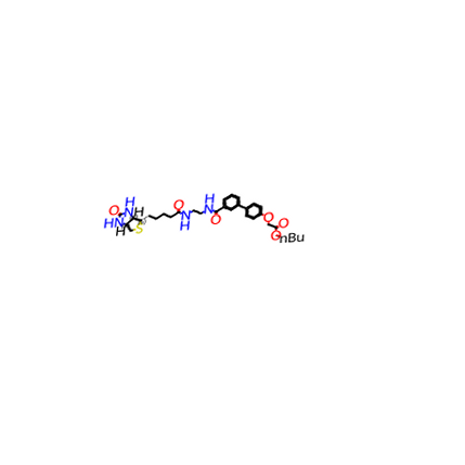 CCCCOC(=O)COc1ccc(-c2cccc(C(=O)NCCNC(=O)CCCC[C@@H]3SC[C@@H]4NC(=O)N[C@@H]43)c2)cc1